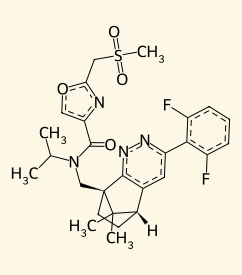 CC(C)N(C[C@@]12CC[C@@H](c3cc(-c4c(F)cccc4F)nnc31)C2(C)C)C(=O)c1coc(CS(C)(=O)=O)n1